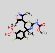 Cc1noc(C)c1C1CC(C)(c2cc(B(O)O)c(F)cc2F)N=C(NC(=O)OC(C)(C)C)S1